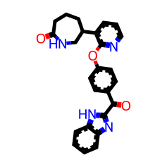 O=C1CCCC(c2cccnc2Oc2ccc(C(=O)c3nc4ccccc4[nH]3)cc2)CN1